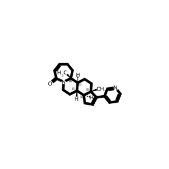 C[C@]12CC[C@H]3[C@@H](CCN4C(=O)C=CCC[C@]34C)[C@@H]1CC=C2c1cccnc1